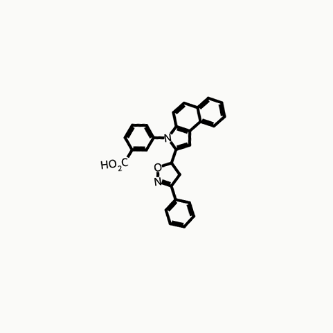 O=C(O)c1cccc(-n2c(C3CC(c4ccccc4)=NO3)cc3c4ccccc4ccc32)c1